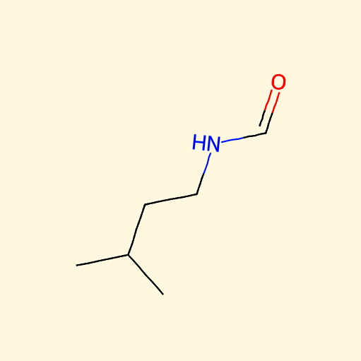 CC(C)CCNC=O